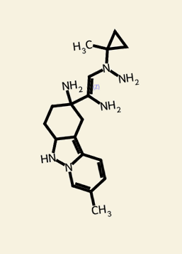 CC1=CN2NC3CCC(N)(/C(N)=C/N(N)C4(C)CC4)CC3=C2C=C1